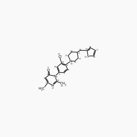 Cc1cc(=O)n(-c2ccc(N3CCC(Cc4cccs4)CC3)c(Cl)c2)c(C)n1